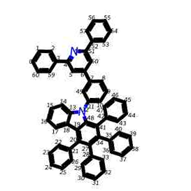 c1ccc(-c2cc(-c3cccc(-n4c5ccccc5c5c(-c6ccccc6)c(-c6ccccc6)c(-c6ccccc6)c(-c6ccccc6)c54)c3)cc(-c3ccccc3)n2)cc1